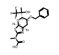 CN(C(=O)O)C1=N[C@@H]2C[C@H](OCc3ccccc3)[C@@H](C(C)(O)C(F)(F)F)O[C@@H]2S1